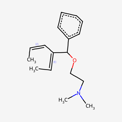 C/C=C\C(=C/C)C(OCCN(C)C)c1ccccc1